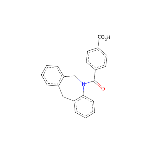 O=C(O)c1ccc(C(=O)N2Cc3ccccc3Cc3ccccc32)cc1